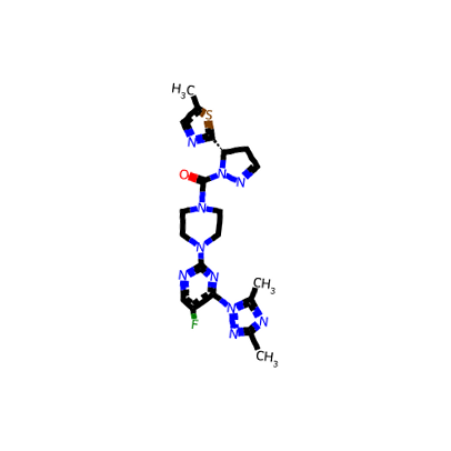 Cc1nc(C)n(-c2nc(N3CCN(C(=O)N4N=CC[C@H]4c4ncc(C)s4)CC3)ncc2F)n1